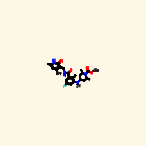 CCCc1cc(C)[nH]c(=O)c1CNC(=O)c1cc(F)cc(N(CC)C2CC(C)N(C(=O)OC(C)(C)C)C(C)C2)c1C